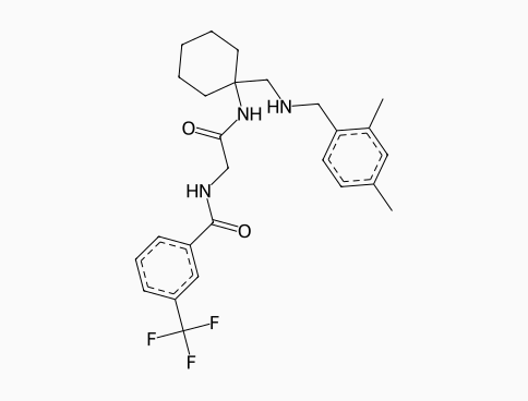 Cc1ccc(CNCC2(NC(=O)CNC(=O)c3cccc(C(F)(F)F)c3)CCCCC2)c(C)c1